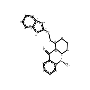 O=C(c1ccccc1OC(F)(F)F)N1CCCCC1CNc1nc2ccccc2s1